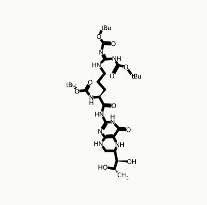 C[C@H](O)[C@H](O)C1CNc2nc(NC(=O)[C@H](CCCN/C(=N/C(=O)OC(C)(C)C)NC(=O)OC(C)(C)C)NC(=O)OC(C)(C)C)[nH]c(=O)c2N1